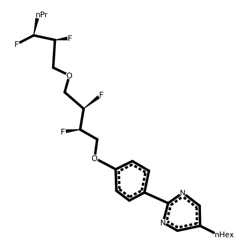 CCCCCCc1cnc(-c2ccc(OC[C@@H](F)[C@H](F)COC[C@H](F)[C@@H](F)CCC)cc2)nc1